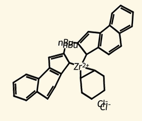 CCCCC1=Cc2c(ccc3ccccc23)[CH]1[Zr+2]1([CH]2C(CCCC)=Cc3c2ccc2ccccc32)[CH]2CCCC[CH]21.[Cl-].[Cl-]